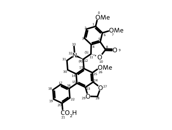 COc1ccc2c(c1OC)C(=O)O[C@@H]2[C@H]1c2c(c(-c3cccc(C(=O)O)c3)c3c(c2OC)OCO3)CCN1C